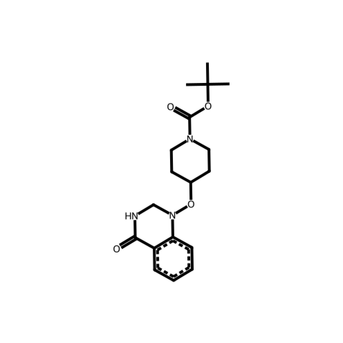 CC(C)(C)OC(=O)N1CCC(ON2CNC(=O)c3ccccc32)CC1